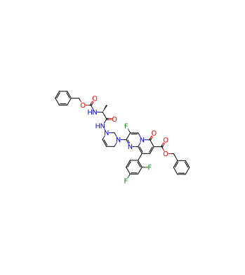 C[C@H](NC(=O)OCc1ccccc1)C(=O)NN1C=CCN(c2nc3c(-c4ccc(F)cc4F)cc(C(=O)OCc4ccccc4)c(=O)n3cc2F)C1